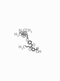 CCCCc1oc2ccc(C(=O)O)cc2c1C(=O)c1ccc(OCCCN(CC(C)(C)C)C(=O)OC(C)(C)C)cc1